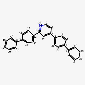 C1=CC(c2ccc(-c3ccnc(-c4ccc(-c5ccccc5)cc4)c3)cc2)=CCC1